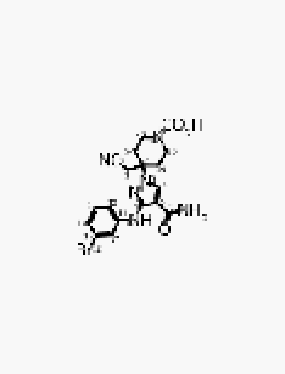 N#CCC1(n2cc(C(N)=O)c(Nc3cccc(Br)c3)n2)CCN(C(=O)O)CC1